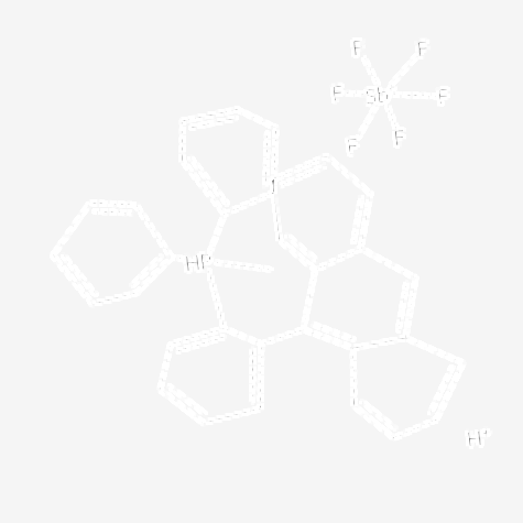 C[PH](c1ccccc1)(c1ccccc1)c1ccccc1-c1c2ccccc2cc2ccccc12.[F][Sb-]([F])([F])([F])([F])[F].[H+]